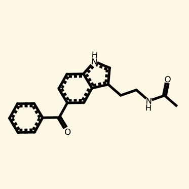 CC(=O)NCCc1c[nH]c2ccc(C(=O)c3ccccc3)cc12